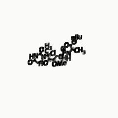 CCCCOC(=O)[C@@H](C)N[PH](=O)OC[C@@H](OC)[C@@H](O)[C@@](C)(Cl)n1ccc(=O)[nH]c1=O